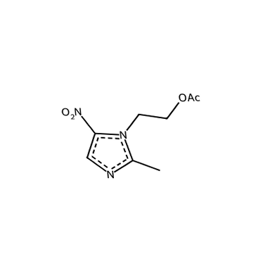 CC(=O)OCCn1c([N+](=O)[O-])cnc1C